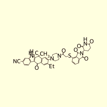 CCc1cc2c(cc1N1CCN(C(=O)CSc3cccc4c3C(=O)N(C3CCC(=O)NC3=O)C4=O)CC1)C(C)(C)c1[nH]c3cc(C#N)ccc3c1C2=O